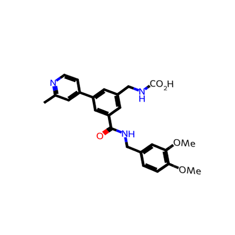 COc1ccc(CNC(=O)c2cc(CNC(=O)O)cc(-c3ccnc(C)c3)c2)cc1OC